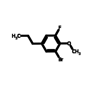 CCCc1cc(F)c(OC)c(Br)c1